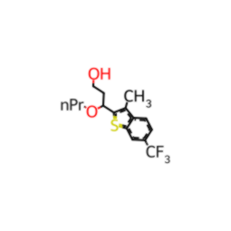 CCCOC(CCO)c1sc2cc(C(F)(F)F)ccc2c1C